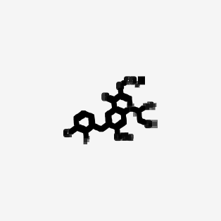 CCC[C@@H](CO)n1cc(OC(=O)O)c(=O)c2cc(Cc3cccc(Cl)c3F)c(OC)cc21